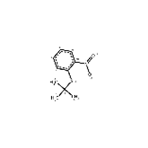 CC(C)(C)Sc1ccccc1[N+](=O)[O-]